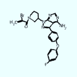 C=C(Br)C(=O)N1CCCC(n2nc(-c3ccc(Oc4ccc(F)cc4)cc3)c3c(N)ncnc32)C1